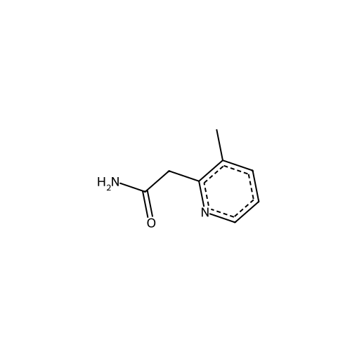 Cc1cccnc1CC(N)=O